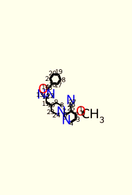 COc1ccnc(N2CCC(=Cc3noc(-c4ccccc4)n3)CC2)c1C#N